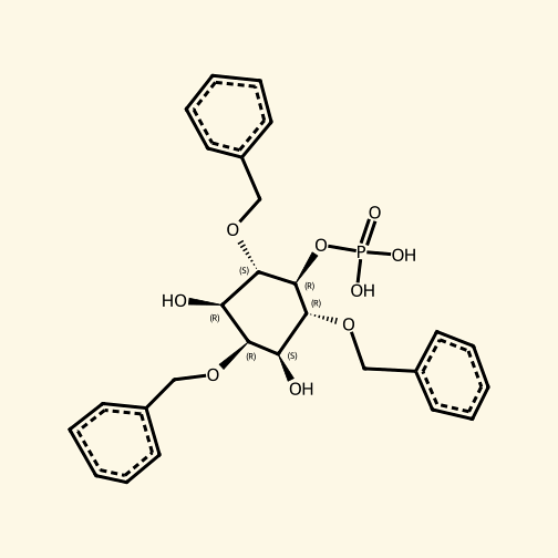 O=P(O)(O)O[C@H]1[C@H](OCc2ccccc2)[C@@H](O)[C@@H](OCc2ccccc2)[C@@H](O)[C@@H]1OCc1ccccc1